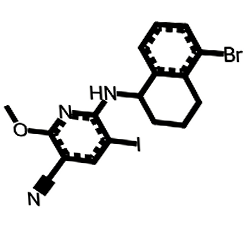 COc1nc(NC2CCCc3c(Br)cccc32)c(I)cc1C#N